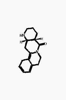 O=C1[C@H]2CCCN[C@H]2CC2=C3CC=CC=C3CCN12